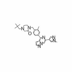 Cc1cc(-c2nc(-c3cnn(C)c3)cn3nccc23)ccc1CN1CCN(CC(C)(C)C)CC1=O